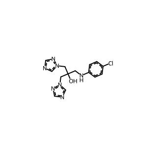 OC(CNc1ccc(Cl)cc1)(Cn1cncn1)Cn1cncn1